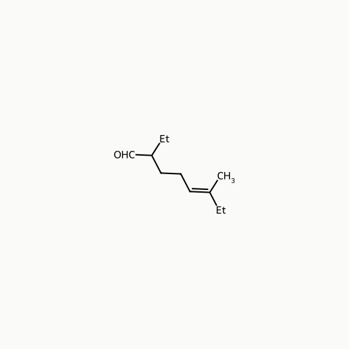 CCC(C)=CCCC(C=O)CC